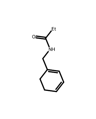 CCC(=O)NCC1=CC=CCC1